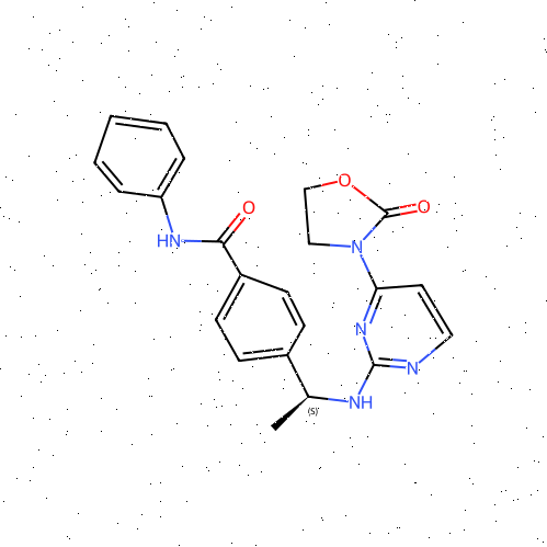 C[C@H](Nc1nccc(N2CCOC2=O)n1)c1ccc(C(=O)Nc2ccccc2)cc1